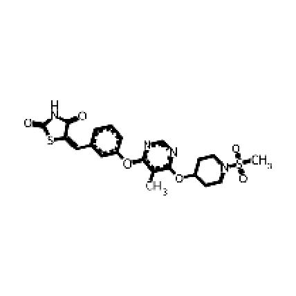 Cc1c(Oc2cccc(C=C3SC(=O)NC3=O)c2)ncnc1OC1CCN(S(C)(=O)=O)CC1